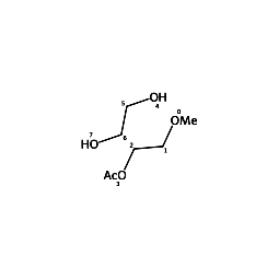 COCCOC(C)=O.OCCO